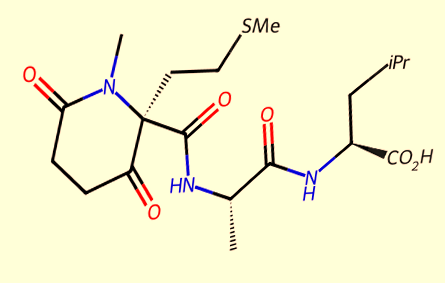 CSCC[C@]1(C(=O)N[C@@H](C)C(=O)N[C@@H](CC(C)C)C(=O)O)C(=O)CCC(=O)N1C